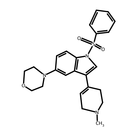 CN1CC=C(c2cn(S(=O)(=O)c3ccccc3)c3ccc(N4CCOCC4)cc23)CC1